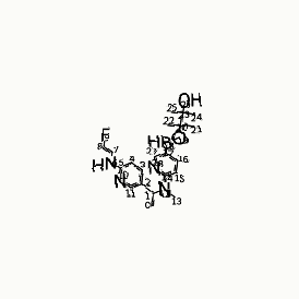 C[C@@H](c1ccc(N/C=C/F)nc1)N(C)c1ccc(BOC(C)(C)C(C)(C)O)cn1